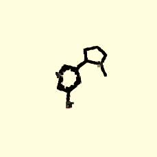 CN1CCCC1c1cncc(Br)c1